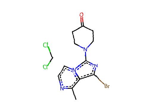 Cc1nccn2c(N3CCC(=O)CC3)nc(Br)c12.ClCCl